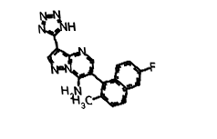 Cc1ccc2cc(F)ccc2c1-c1cnc2c(-c3nnn[nH]3)cnn2c1N